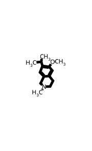 COc1cc2c(cc1C(C)C)CN(C)CC2